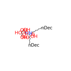 CCCCCCCCCCCCCCCCCC(=O)N[C@@H](COC1OC(CO)C(O)C(O)[C@@H]1O)[C@H](O)[C@H](O)CCCCCCCCCCCCCC